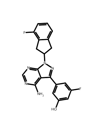 Nc1ncnc2c1c(-c1cc(O)cc(F)c1)nn2C1Cc2cccc(F)c2C1